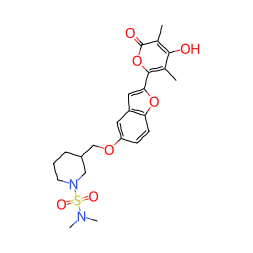 Cc1c(-c2cc3cc(OCC4CCCN(S(=O)(=O)N(C)C)C4)ccc3o2)oc(=O)c(C)c1O